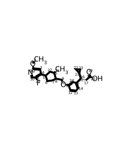 COc1cc(C2CCC(COc3cccc([C@@H](CC(=O)O)C4CC4)c3)C(C)C2)c(F)cn1